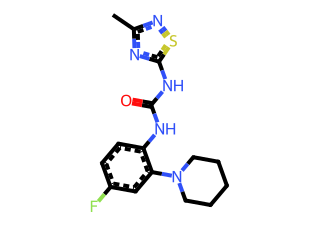 Cc1nsc(NC(=O)Nc2ccc(F)cc2N2CCCCC2)n1